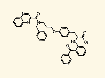 O=C(c1ccccc1)c1ccccc1NC(Cc1ccc(OCCCN(Cc2ccccc2)C(=O)c2cnc3ccccc3n2)cc1)C(=O)O